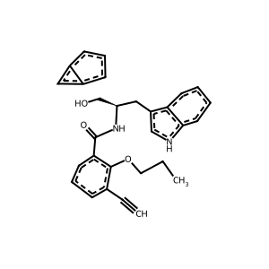 C#Cc1cccc(C(=O)N[C@@H](CO)Cc2c[nH]c3ccccc23)c1OCCC.c1cc2cc-2c1